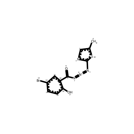 Cc1cnc(N=[N+]=NC(=O)c2cc(Br)ccc2O)s1